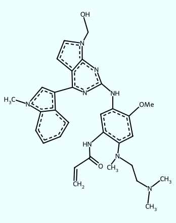 C=CC(=O)Nc1cc(Nc2nc(-c3cn(C)c4ccccc34)c3ccn(CO)c3n2)c(OC)cc1N(C)CCN(C)C